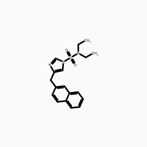 CCN(CC)S(=O)(=O)n1cnc(Cc2ccc3ccccc3c2)c1